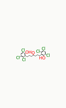 O=C(CCCc1c(O)c(Cl)cc(Cl)c1Cl)CCCc1c(O)c(Cl)cc(Cl)c1Cl